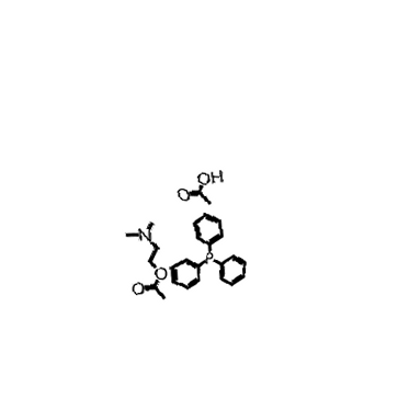 CC(=O)O.CC(=O)OCCN(C)C.c1ccc(P(c2ccccc2)c2ccccc2)cc1